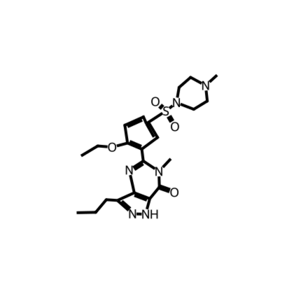 CCCc1n[nH]c2c(=O)n(C)c(-c3cc(S(=O)(=O)N4CCN(C)CC4)ccc3OCC)nc12